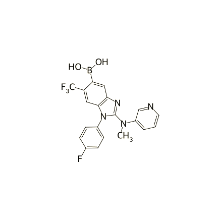 CN(c1cccnc1)c1nc2cc(B(O)O)c(C(F)(F)F)cc2n1-c1ccc(F)cc1